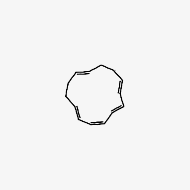 [CH]1/C=C/C=C/C=C\C=C\CC/C=C/C1